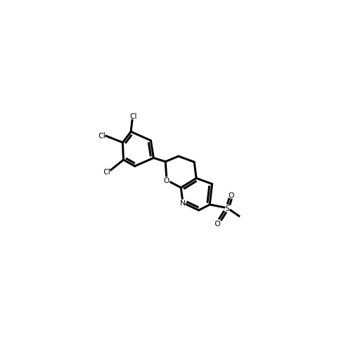 CS(=O)(=O)c1cnc2c(c1)CCC(c1cc(Cl)c(Cl)c(Cl)c1)O2